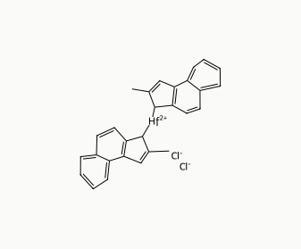 CC1=Cc2c(ccc3ccccc23)[CH]1[Hf+2][CH]1C(C)=Cc2c1ccc1ccccc21.[Cl-].[Cl-]